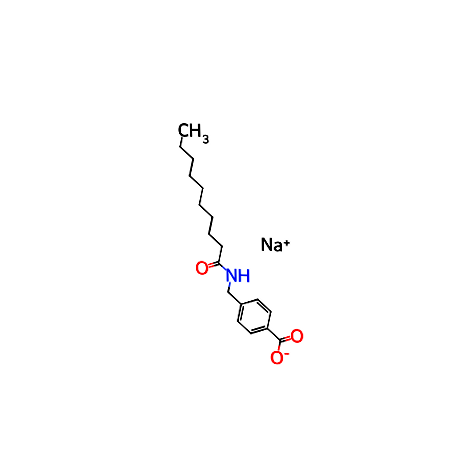 CCCCCCCCCC(=O)NCc1ccc(C(=O)[O-])cc1.[Na+]